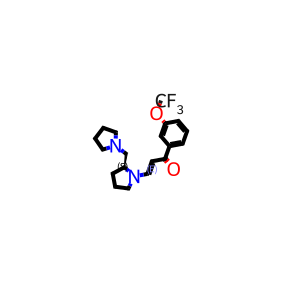 O=C(/C=C/N1CCC[C@H]1CN1CCCC1)c1cccc(OC(F)(F)F)c1